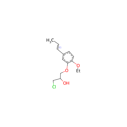 C/C=C/c1ccc(OCC)c(OCC(O)CCl)c1